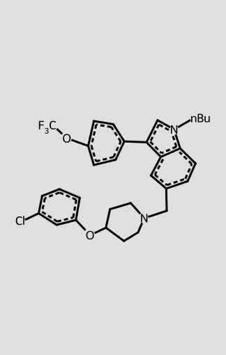 CCCCn1cc(-c2ccc(OC(F)(F)F)cc2)c2cc(CN3CCC(Oc4cccc(Cl)c4)CC3)ccc21